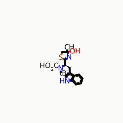 CC1(O)CSC([C@@H](Cc2c[nH]c3ccccc23)N(C(=O)O)C(C)(C)C)=N1